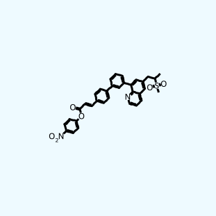 CC(Cc1cc(-c2cccc(-c3ccc(C=CC(=O)Oc4ccc([N+](=O)[O-])cc4)cc3)c2)c2ncccc2c1)S(C)(=O)=O